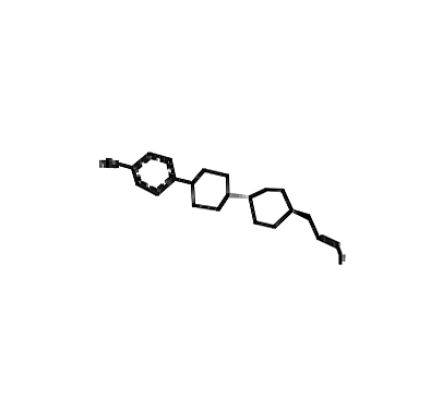 CCCCc1ccc(C2CCC([C@H]3CC[C@H](C/C=C/F)CC3)CC2)cc1